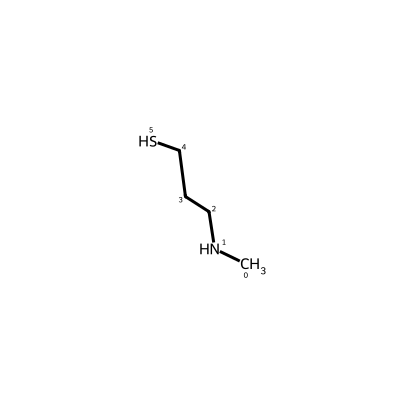 CNCCCS